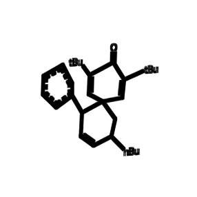 CCCCC1C=CC(c2ccccc2)C2(C=C(C(C)(C)C)C(=O)C(C(C)(C)C)=C2)C1